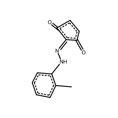 Cc1ccccc1NN=c1c(=O)ccc1=O